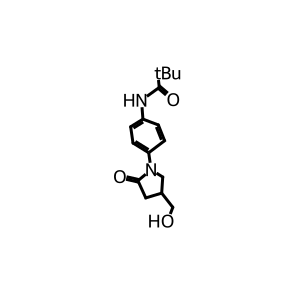 CC(C)(C)C(=O)Nc1ccc(N2CC(CO)CC2=O)cc1